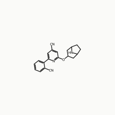 N#Cc1cc(OC2CC3CCC(C2)N3)nc(-c2ccccc2C#N)c1